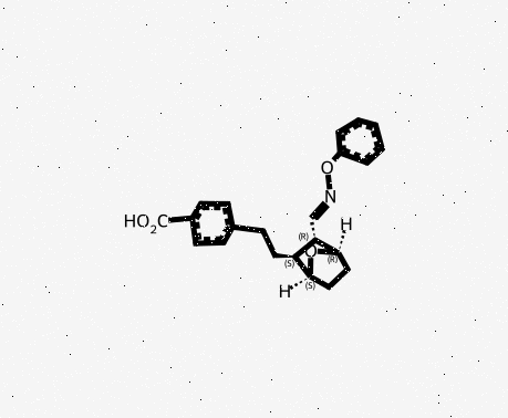 O=C(O)c1ccc(CC[C@H]2[C@H](C=NOc3ccccc3)[C@H]3CC[C@@H]2O3)cc1